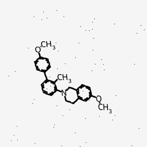 COc1ccc(-c2cccc(N3CCc4cc(OC)ccc4C3)c2C)cc1